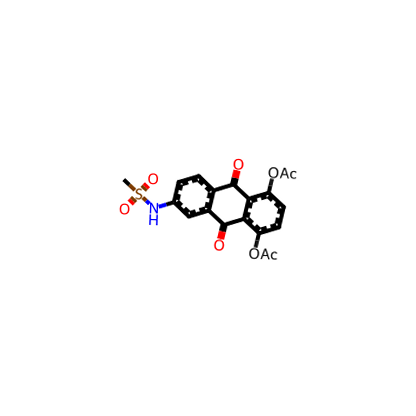 CC(=O)Oc1ccc(OC(C)=O)c2c1C(=O)c1ccc(NS(C)(=O)=O)cc1C2=O